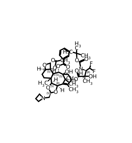 CC(=O)O[C@@]12CO[C@@H]1CC[C@@]1(C)[C@@H]3O[C@H](CN4CCC4)O[C@@H]3C3=C(C)[C@@H](OC(=O)[C@](C)(O)[C@@H](NC(=O)OC(C)(C)C)C(F)F)C[C@@](O)([C@@H](OC(=O)c4ccccc4)[C@@H]12)C3(C)C